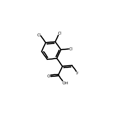 O=C(O)C(=CF)c1ccc(Cl)c(Cl)c1Cl